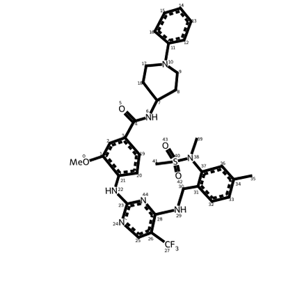 COc1cc(C(=O)NC2CCN(c3ccccc3)CC2)ccc1Nc1ncc(C(F)(F)F)c(NCc2ccc(C)cc2N(C)S(C)(=O)=O)n1